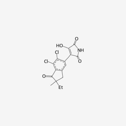 CCC1(C)Cc2cc(C3=C(O)C(=O)NC3=O)c(Cl)c(Cl)c2C1=O